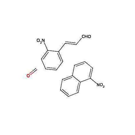 C=O.O=CC=Cc1ccccc1[N+](=O)[O-].O=[N+]([O-])c1cccc2ccccc12